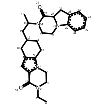 CCN1CCn2c(cc3c2CCC(CC(C)N2CCN4c5ccccc5CC4C2=O)C3)C1=O